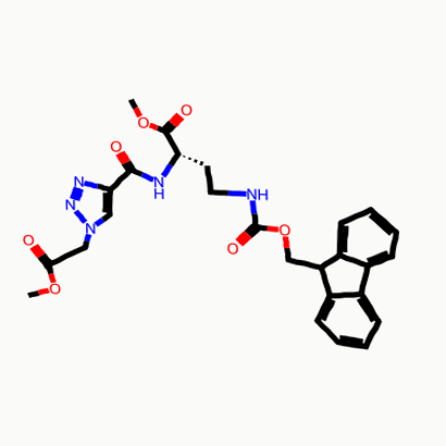 COC(=O)Cn1cc(C(=O)N[C@@H](CCNC(=O)OCC2c3ccccc3-c3ccccc32)C(=O)OC)nn1